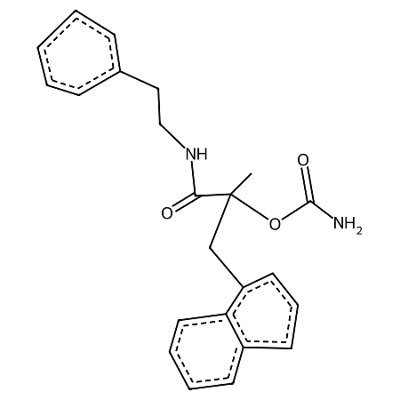 CC(Cc1cccc2ccccc12)(OC(N)=O)C(=O)NCCc1ccccc1